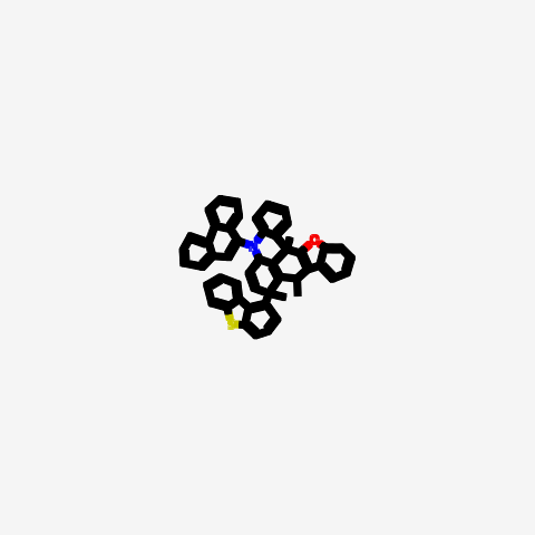 CC1C2=C3C(C)(c4ccccc4N(c4cc5ccccc5c5ccccc45)C3(C)C=CC2(C)c2cccc3sc4ccccc4c23)c2oc3ccccc3c21